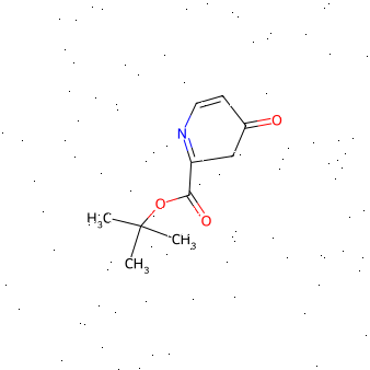 CC(C)(C)OC(=O)C1=NC=CC(=O)C1